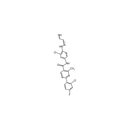 Cc1nc(-c2ccc(F)cc2Cl)ncc1C(=O)Nc1cnc(N/N=C\C=N)c(Cl)c1